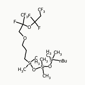 CCCC[Si](C)(C)O[Si](C)(C)O[Si](C)(C)CCCOCC(F)(OC(F)(F)CC(F)(F)F)C(F)(F)F